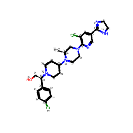 CC[C@H]1CN(c2ncc(C3=NCCN3)cc2Cl)CCN1C1CCN([C@H](CO)c2ccc(Cl)cc2)CC1